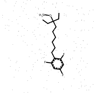 CCC(CC)(CCCCCCc1c(F)cc(F)cc1F)O[SiH3]